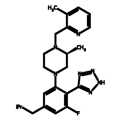 Cc1cccnc1CN1CCN(c2cc(CC(C)C)cc(F)c2-c2nn[nH]n2)C[C@@H]1C